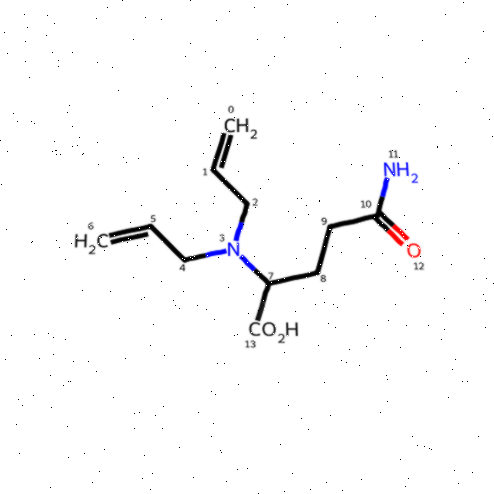 C=CCN(CC=C)C(CCC(N)=O)C(=O)O